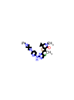 Cc1c(-c2nc(Nc3ccc(N4CC5(C4)CN(C(C)C)C5)cn3)ncc2F)sc2c1C(=O)N(C)CC21CC1